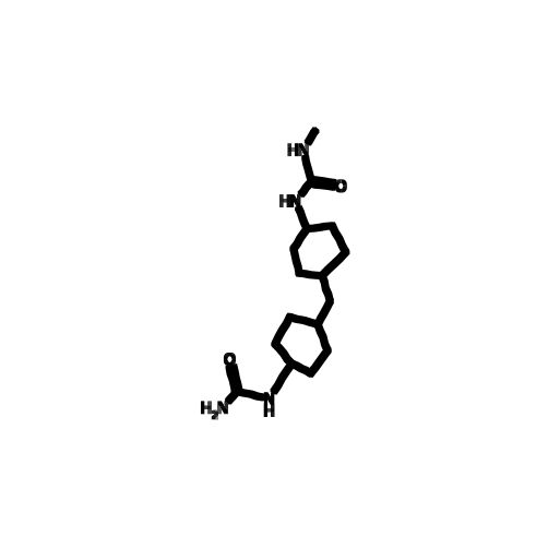 CNC(=O)NC1CCC(CC2CCC(NC(N)=O)CC2)CC1